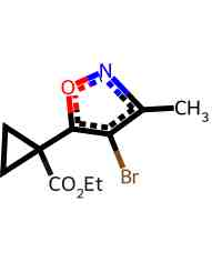 CCOC(=O)C1(c2onc(C)c2Br)CC1